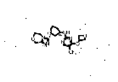 FC(F)(F)c1cnc(N[C@@H]2CCC[C@H](c3nnc4n3CCOC4)C2)nc1OC1COC1